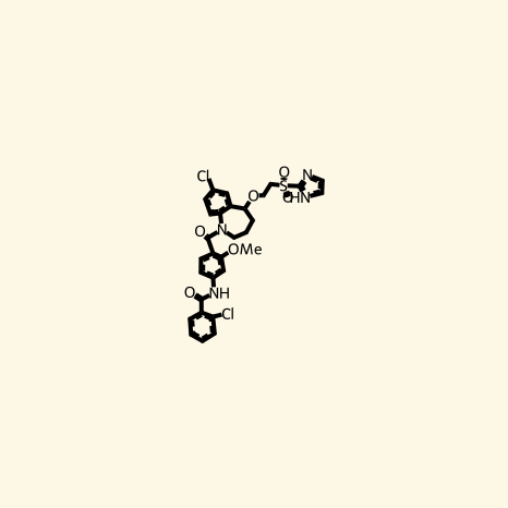 COc1cc(NC(=O)c2ccccc2Cl)ccc1C(=O)N1CCCC(OCCS(=O)(=O)c2ncc[nH]2)c2cc(Cl)ccc21